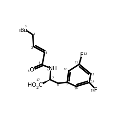 CCC(C)CC=CC(=O)N[C@@H](Cc1cc(F)cc(F)c1)C(=O)O